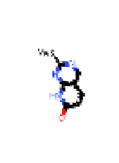 CSc1ncc2ccc(=O)[nH]c2n1